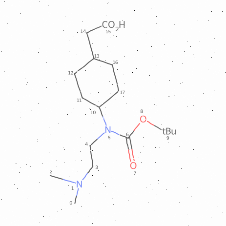 CN(C)CCN(C(=O)OC(C)(C)C)C1CCC(CC(=O)O)CC1